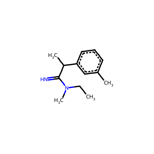 CCN(C)C(=N)C(C)c1cccc(C)c1